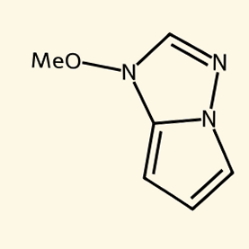 COn1cnn2cccc12